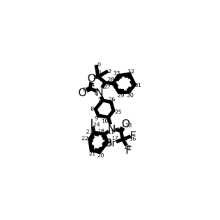 CC1(C)OC(=O)N(C2CCC(N(C(=O)C(F)(F)Br)c3ccccc3I)CC2)C1c1ccccc1